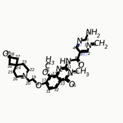 C=N/C=C(\C=N/CN)C(=O)Nc1nc2c(OC)c(OCCN3CCC4(CC3)CC(=O)C4)ccc2c(=O)n1C